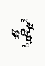 CCCn1cc(CN2CCN(c3cnccn3)CC2c2ccc(F)cc2)c(C)n1.Cl